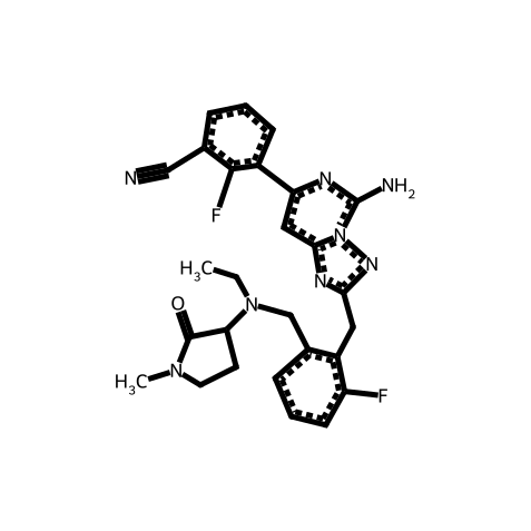 CCN(Cc1cccc(F)c1Cc1nc2cc(-c3cccc(C#N)c3F)nc(N)n2n1)C1CCN(C)C1=O